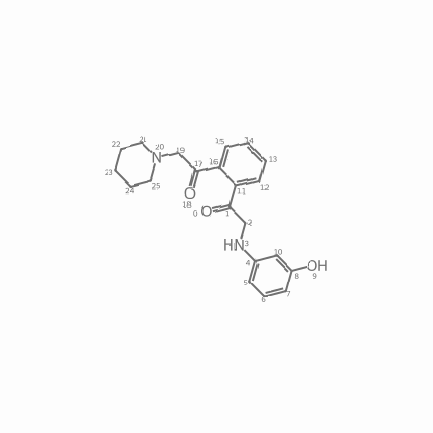 O=C(CNc1cccc(O)c1)c1ccccc1C(=O)CN1CCCCC1